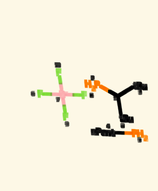 CC(C)(C)C(P)C(C)(C)C.CCCCCP.F[B-](F)(F)F